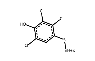 CCCCCCSc1cc(Cl)c(O)c(Cl)c1Cl